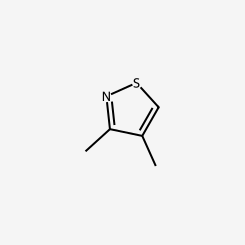 Cc1csnc1C